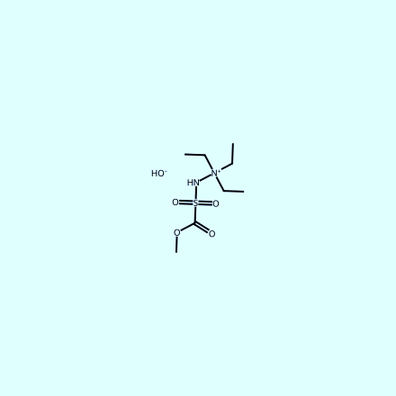 CC[N+](CC)(CC)NS(=O)(=O)C(=O)OC.[OH-]